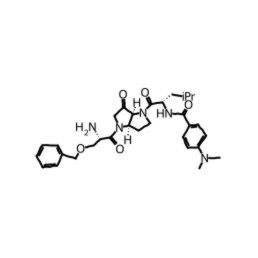 CC(C)C[C@H](NC(=O)c1ccc(N(C)C)cc1)C(=O)N1CC[C@@H]2[C@H]1C(=O)CN2C(=O)[C@@H](N)COCc1ccccc1